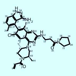 C=CC(=O)N1C[C@H](C)N(c2nc(NCCC(=O)N3CCCC3)nc3c(F)c(-c4c(C)ccc5[nH]nc(N)c45)c(Cl)cc23)C[C@H]1C